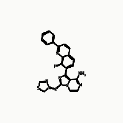 Nc1nccn2c(SN3CSC=N3)nc(-c3ccc4ccc(-c5ccccc5)nc4c3F)c12